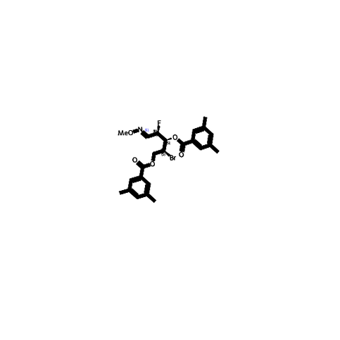 CO/N=C/[C@@H](F)[C@H](OC(=O)c1cc(C)cc(C)c1)[C@@H](Br)COC(=O)c1cc(C)cc(C)c1